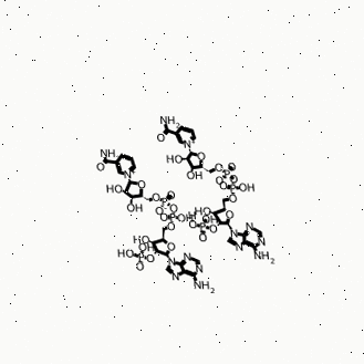 NC(=O)c1ccc[n+]([C@@H]2O[C@H](COP(=O)([O-])OP(=O)(O)OC[C@H]3O[C@@H](n4cnc5c(N)ncnc54)[C@H](OP(=O)(O)O)[C@@H]3O)[C@@H](O)[C@H]2O)c1.NC(=O)c1ccc[n+]([C@@H]2O[C@H](COP(=O)([O-])OP(=O)(O)OC[C@H]3O[C@@H](n4cnc5c(N)ncnc54)[C@H](OP(=O)(O)O)[C@@H]3O)[C@@H](O)[C@H]2O)c1